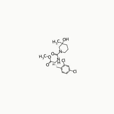 COC(=O)[C@@H](Cc1ccc(Cl)cc1Cl)NC(=O)N1CCCC(C)(O)C1